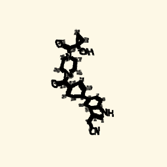 N#CCc1c[nH]c2ccc(-c3ccc(C(=O)N4CCN(C(=O)C5(O)CC5)CC4)cc3)cc12